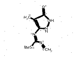 C=N/C(=N\c1[nH][nH]c(=O)c1C)SC